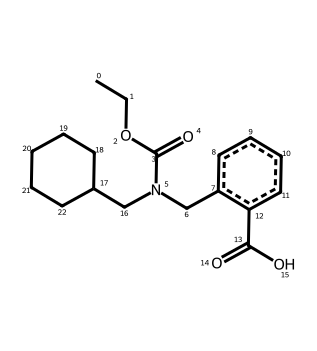 CCOC(=O)N(Cc1ccccc1C(=O)O)CC1CCCCC1